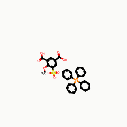 COc1c(C(=O)O)cc(C(=O)O)cc1S(=O)(=O)[O-].c1ccc([P+](c2ccccc2)(c2ccccc2)c2ccccc2)cc1